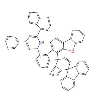 c1ccc(C2=NC(c3cccc4c3-c3ccc5c(oc6ccccc65)c3C43c4ccccc4C4(c5ccccc5-c5ccccc54)c4ccccc43)NC(c3cccc4ccccc34)=N2)cc1